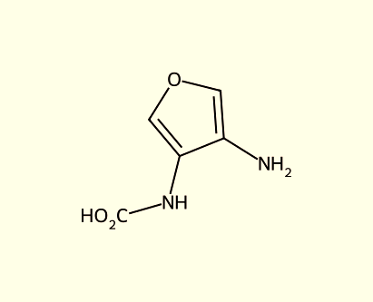 Nc1cocc1NC(=O)O